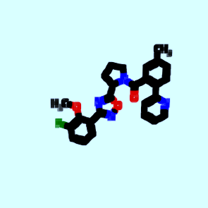 COc1c(F)cccc1-c1noc(C2CCCN2C(=O)c2cc(C)ccc2-c2ccccn2)n1